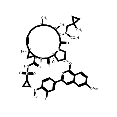 COc1ccc2c(O[C@@H]3C[C@H]4C(=O)N[C@]5(C(=O)NS(=O)(=O)C6CC6)C[C@H]5C=CCC[C@@H](C)C[C@@H](C)[C@H](N(CC5(C)CC5)C(=O)O)C(=O)N4C3)nc(-c3ccc(OC(C)C)c(F)c3)cc2c1